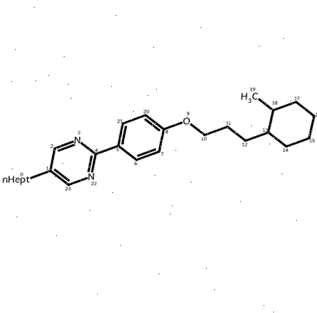 CCCCCCCc1cnc(-c2ccc(OCCCC3CCCCC3C)cc2)nc1